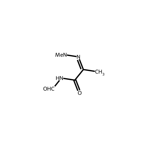 CN/N=C(/C)C(=O)NC=O